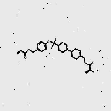 C=CC(=O)OCc1ccc(OC(F)(F)C2CCC(C3CCC(COC(=O)C(=C)C)CC3)CC2)cc1